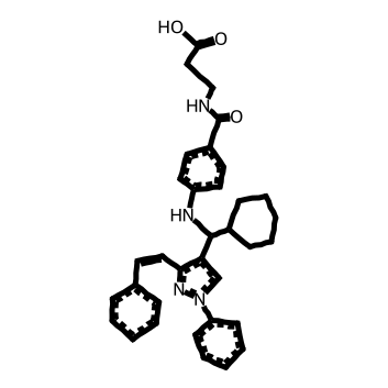 O=C(O)CCNC(=O)c1ccc(NC(c2cn(-c3ccccc3)nc2C=Cc2ccccc2)C2CCCCC2)cc1